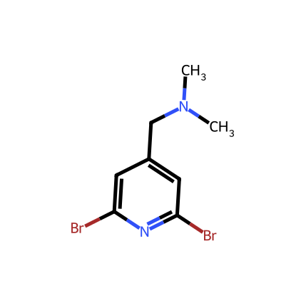 CN(C)Cc1cc(Br)nc(Br)c1